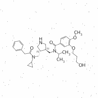 COc1ccc(C(=O)N(C[C@@H]2CNC[C@H]2CN(C(=O)Cc2ccccc2)C2CC2)C(C)C)cc1OCCCO